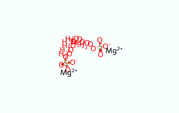 O.O.O.O.O.O.O.O.O.O=S(=O)([O-])[O-].O=S(=O)([O-])[O-].[Mg+2].[Mg+2]